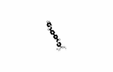 Cc1cc[n+](CC(=O)c2ccc(-c3ccc(C(=O)C[n+]4ccc(N(C)C)cc4)cc3)cc2)cc1